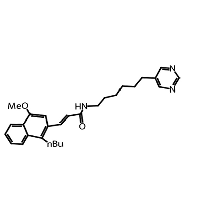 CCCCc1c(C=CC(=O)NCCCCCCc2cncnc2)cc(OC)c2ccccc12